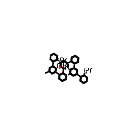 Cc1cc(-c2ccccc2-c2cccc(-c3ccccc3-c3cc(C)cc(-c4ccccc4C(C)C)c3O)n2)cc(-c2ccccc2C(C)C)c1